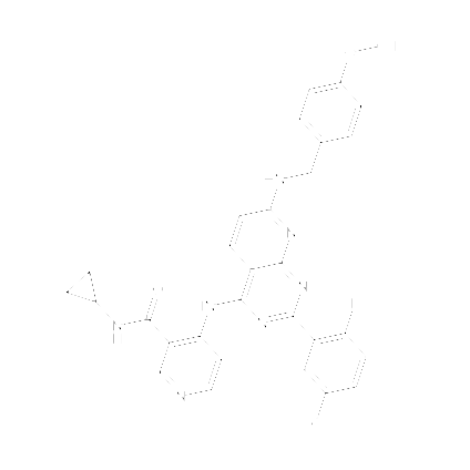 COc1ccc(CNc2ccc3c(Nc4ccncc4C(=O)NC4CC4)nc(-c4cc(Cl)ccc4F)nc3n2)cc1